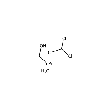 CCCCO.ClC(Cl)Cl.O